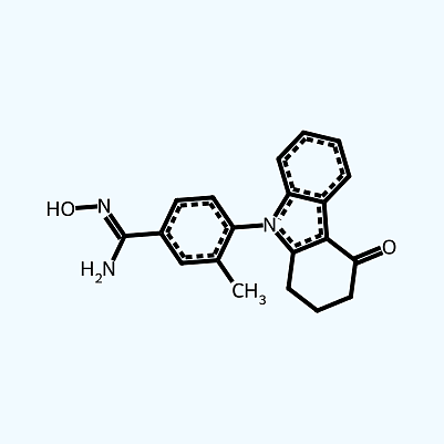 Cc1cc(/C(N)=N/O)ccc1-n1c2c(c3ccccc31)C(=O)CCC2